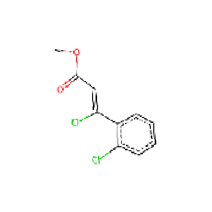 COC(=O)C=C(Cl)c1ccccc1Cl